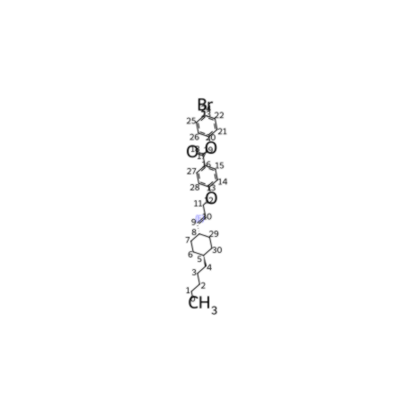 CCCCC[C@H]1CC[C@H](/C=C/COc2ccc(C(=O)Oc3ccc(Br)cc3)cc2)CC1